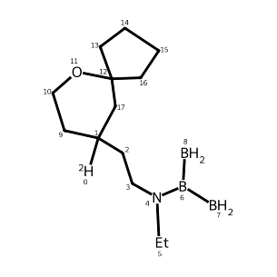 [2H]C1(CCN(CC)B(B)B)CCOC2(CCCC2)C1